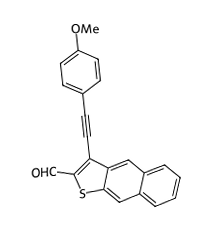 COc1ccc(C#Cc2c(C=O)sc3cc4ccccc4cc23)cc1